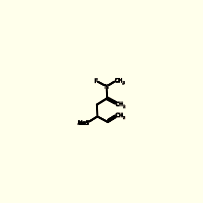 C=CC(CC(=C)N(C)F)SC